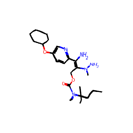 CCCC(C)(C)N(C)C(=O)OC/C(=C(/N)c1ccc(OC2CCCCC2)cn1)N(C)N